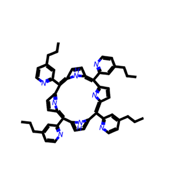 CCCc1ccnc(-c2c3nc(c(-c4cc(CCC)ccn4)c4ccc([nH]4)c(-c4cc(CCC)ccn4)c4nc(c(-c5cc(CCC)ccn5)c5ccc2[nH]5)C=C4)C=C3)c1